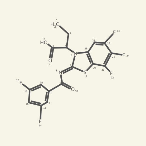 CCC(C(=O)O)n1c(=NC(=O)c2cc(F)cc(F)c2)sc2c(F)c(F)c(F)cc21